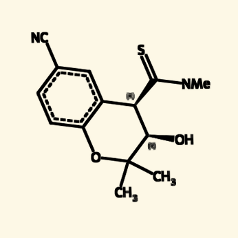 CNC(=S)[C@@H]1c2cc(C#N)ccc2OC(C)(C)[C@@H]1O